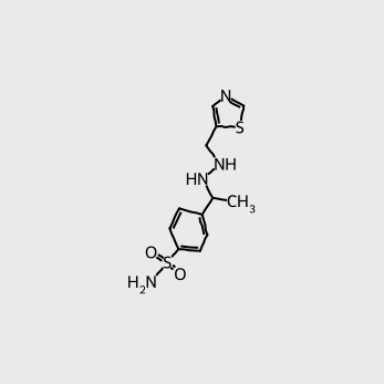 CC(NNCc1cncs1)c1ccc(S(N)(=O)=O)cc1